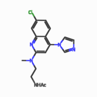 CC(=O)NCCN(C)c1cc(-n2ccnc2)c2ccc(Cl)cc2n1